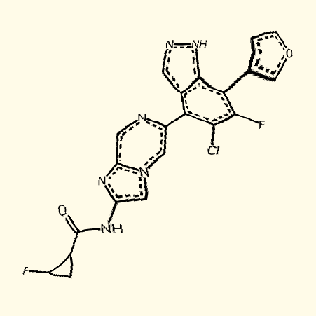 O=C(Nc1cn2cc(-c3c(Cl)c(F)c(-c4ccoc4)c4[nH]ncc34)ncc2n1)C1CC1F